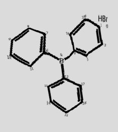 Br.c1ccc(B(c2ccccc2)c2ccccc2)cc1